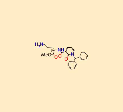 COC(=O)[C@H](CCCN)NC(=O)c1cccn(C(c2ccccc2)c2ccccc2)c1=O